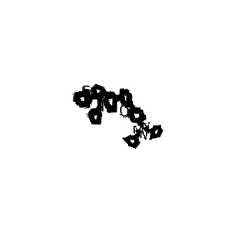 c1ccc(-c2nc(-c3ccccc3)nc(-c3ccc4c(c3)oc3c(-c5ccc6c(c5)c5ccc7sc8ccccc8c7c5n6-c5ccccc5)cccc34)n2)cc1